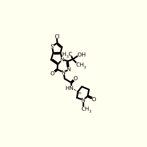 CN1C[C@H](NC(=O)Cn2nc(C(C)(C)O)n3c(cc4sc(Cl)cc43)c2=O)CCC1=O